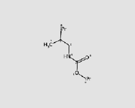 CC(C)OC(=O)NCC(C)C(C)C